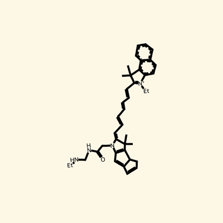 CCNCNC(=O)CN1C2=C(C3CC=CC3=C2)C(C)(C)\C1=C/C=C/C=C/C=C/C1=[N+](CC)c2ccc3ccccc3c2C1(C)C